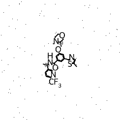 Cc1cnc(-c2cc(OC[C@@H]3COCCN3C)cc(C(=O)N[C@H](C)c3ccc(C(F)(F)F)nc3)c2)s1